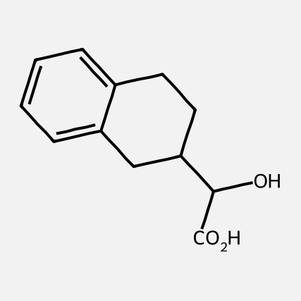 O=C(O)C(O)C1CCc2ccccc2C1